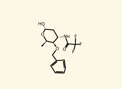 C[C@H]1O[C@H](O)C[C@H](NC(=O)C(F)(F)F)[C@H]1OCc1ccccc1